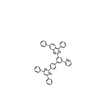 CN1C(c2ccccc2)=CC(c2ccccc2)=NC1c1ccc(-c2cc(-c3ccccn3)cc(-c3nc(-c4ccccc4)c4ccc(-c5ccccc5)cc4n3)c2)cc1